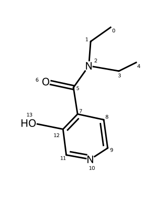 CCN(CC)C(=O)c1ccncc1O